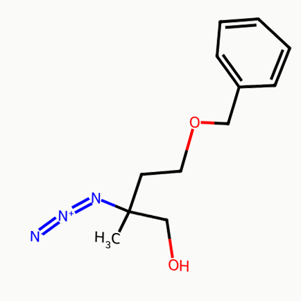 CC(CO)(CCOCc1ccccc1)N=[N+]=[N-]